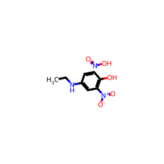 CCNc1ccc(O)c([N+](=O)[O-])c1.O=NO